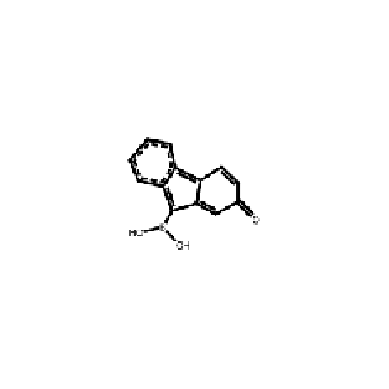 O=C1C=CC2=c3ccccc3=C(B(O)O)C2=C1